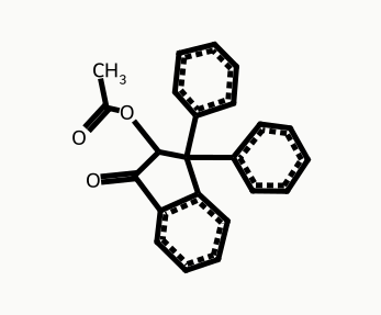 CC(=O)OC1C(=O)c2ccccc2C1(c1ccccc1)c1ccccc1